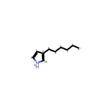 [CH2]CCCCCc1cc[nH]c1